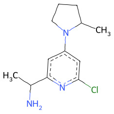 CC(N)c1cc(N2CCCC2C)cc(Cl)n1